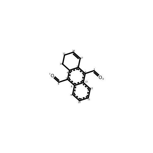 O=Cc1c2c(c(C=O)c3ccccc13)CCC=C2